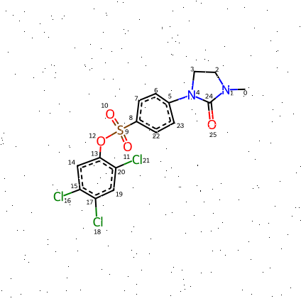 CN1CCN(c2ccc(S(=O)(=O)Oc3cc(Cl)c(Cl)cc3Cl)cc2)C1=O